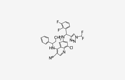 CCC(Nc1c(C#N)cnc2c(Cl)cc(NC(c3cn(C(F)F)nn3)c3cccc(F)c3F)cc12)c1ccccc1